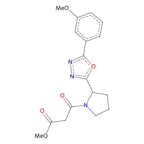 COC(=O)CC(=O)N1CCCC1c1nnc(-c2cccc(OC)c2)o1